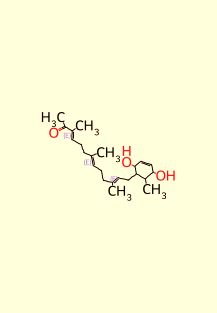 CC(=O)/C(C)=C/CC/C(C)=C/CC/C(C)=C/CC1C(O)C=CC(O)C1C